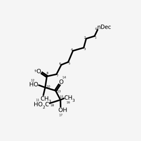 CCCCCCCCCCCCCCCCCC(=O)C(C)(O)C(=O)C(C)(O)C(=O)O